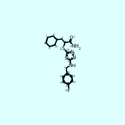 NC(=O)C(CC1CCCCC1)Sc1nnc(NCc2ccc(F)cc2)s1